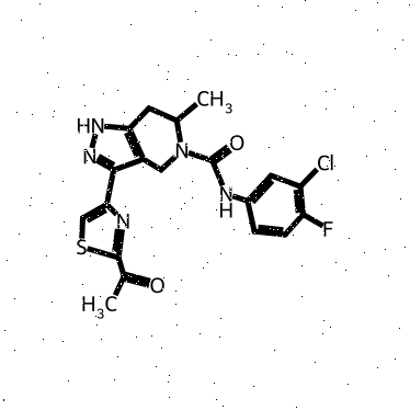 CC(=O)c1nc(-c2n[nH]c3c2CN(C(=O)Nc2ccc(F)c(Cl)c2)C(C)C3)cs1